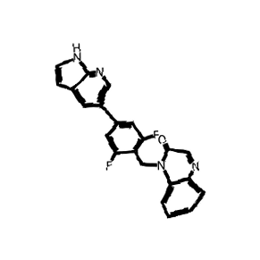 O=c1cnc2ccccc2n1Cc1c(F)cc(-c2cnc3[nH]ccc3c2)cc1F